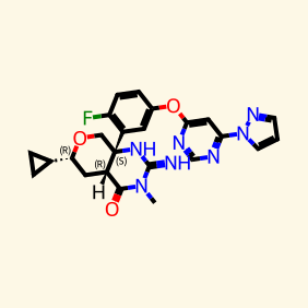 CN1C(=N)N[C@@]2(c3cc(Oc4cc(-n5cccn5)ncn4)ccc3F)CO[C@@H](C3CC3)C[C@H]2C1=O